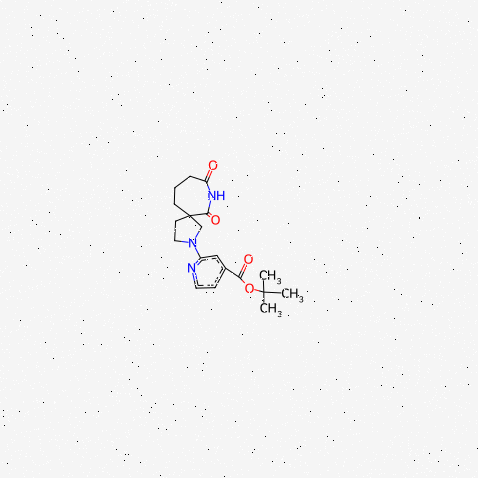 CC(C)(C)OC(=O)c1ccnc(N2CCC3(CCCC(=O)NC3=O)C2)c1